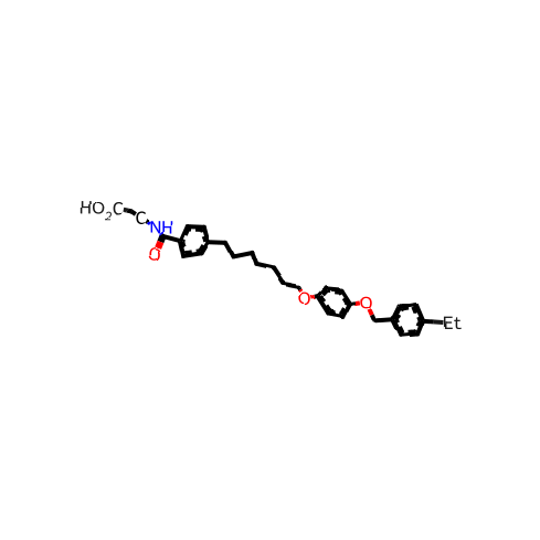 CCc1ccc(COc2ccc(OCCCCCCCc3ccc(C(=O)NCCC(=O)O)cc3)cc2)cc1